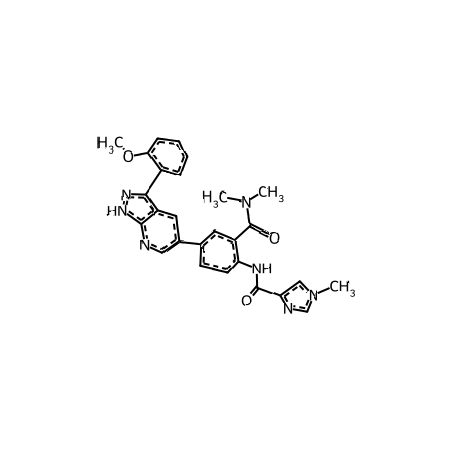 COc1ccccc1-c1n[nH]c2ncc(-c3ccc(NC(=O)c4cn(C)cn4)c(C(=O)N(C)C)c3)cc12